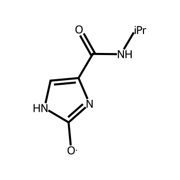 CC(C)NC(=O)c1c[nH]c([O])n1